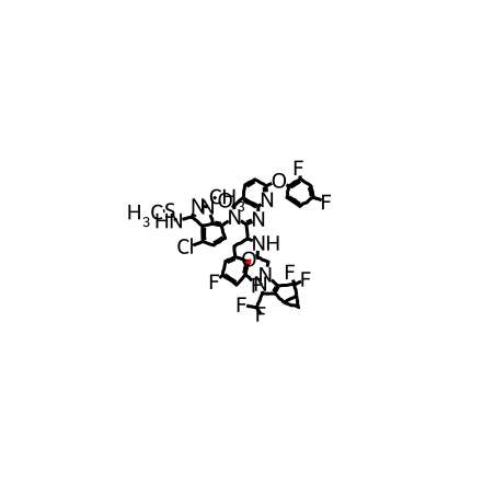 CSNc1nn(C)c2c(-n3c(C(Cc4cc(F)cc(F)c4)NC(=O)Cn4nc(C(F)F)c5c4C(F)(F)C4CC54)nc4nc(Oc5ccc(F)cc5F)ccc4c3=O)ccc(Cl)c12